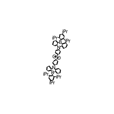 CC(C)c1cc(C(C)C)c(B2c3ccccc3N(c3ccc(S(=O)(=O)c4ccc(N5c6ccccc6B(c6c(C(C)C)cc(C(C)C)cc6C(C)C)c6ccccc65)cc4)cc3)c3ccccc32)c(C(C)C)c1